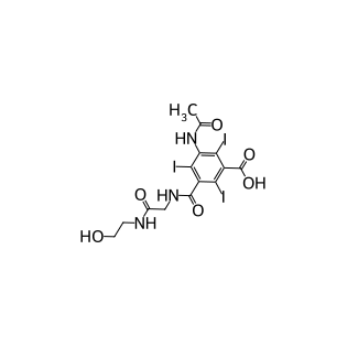 CC(=O)Nc1c(I)c(C(=O)O)c(I)c(C(=O)NCC(=O)NCCO)c1I